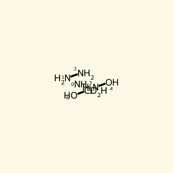 N.NN.NO.O=C(O)O